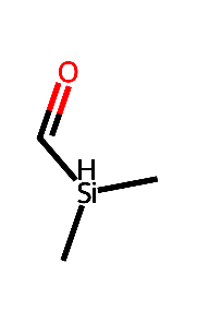 C[SiH](C)C=O